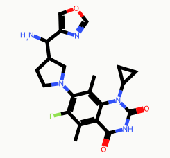 Cc1c(F)c(N2CCC(C(N)c3cocn3)C2)c(C)c2c1c(=O)[nH]c(=O)n2C1CC1